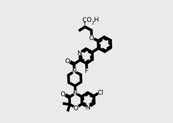 C[C@@H](COc1ccccc1-c1cnc(C(=O)N2CCC(N3C(=O)C(C)(C)Oc4ncc(Cl)cc43)CC2)c(F)c1)C(=O)O